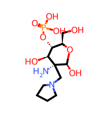 N[C@@]1(CN2CCCC2)[C@H](O)O[C@H](CO)[C@@H](OP(=O)(O)O)[C@@H]1O